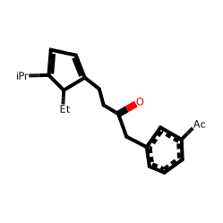 CCC1C(CCC(=O)Cc2cccc(C(C)=O)c2)=CC=C1C(C)C